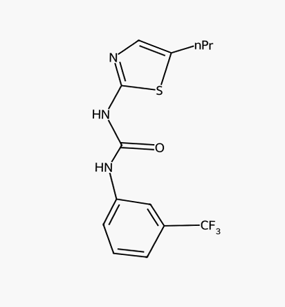 CCCc1cnc(NC(=O)Nc2cccc(C(F)(F)F)c2)s1